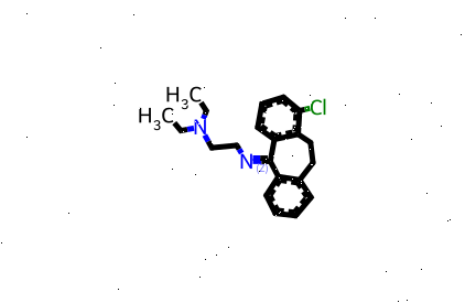 CCN(CC)CC/N=C1/c2ccccc2CCc2c(Cl)cccc21